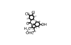 Cc1c(C[C]=O)c2cc(O)ccc2n1C(=O)c1ccc(Cl)c(Cl)c1